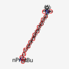 CCCN(OCCOCCOCCOCCOCCOCCOCCOCCOCCOCCOCCOCCN1C(=O)c2ccccc2C1=O)C(=O)OC(C)(C)C